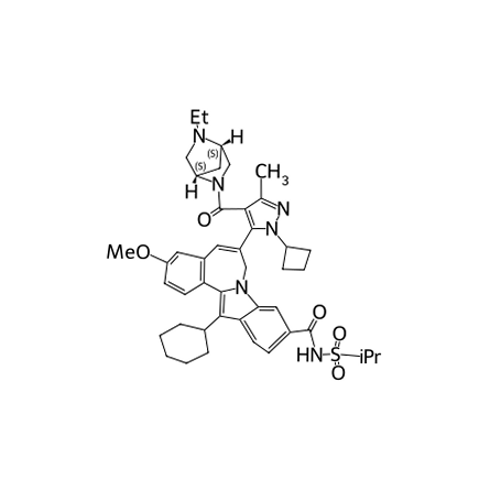 CCN1C[C@@H]2C[C@H]1CN2C(=O)c1c(C)nn(C2CCC2)c1C1=Cc2cc(OC)ccc2-c2c(C3CCCCC3)c3ccc(C(=O)NS(=O)(=O)C(C)C)cc3n2C1